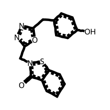 O=c1c2ccccc2sn1Cc1nnc(Cc2ccc(O)cc2)o1